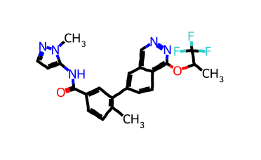 Cc1ccc(C(=O)Nc2ccnn2C)cc1-c1ccc2c(OC(C)C(F)(F)F)nncc2c1